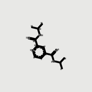 CC(C)OC(=O)c1ccnc(C(=O)OC(C)C)c1